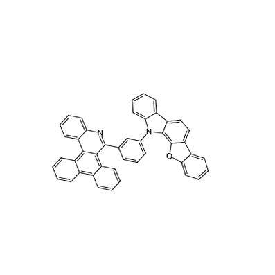 c1cc(-c2nc3ccccc3c3c4ccccc4c4ccccc4c23)cc(-n2c3ccccc3c3ccc4c5ccccc5oc4c32)c1